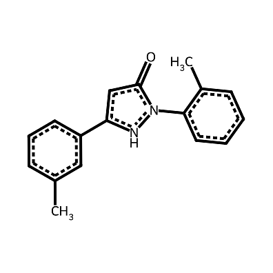 Cc1cccc(-c2cc(=O)n(-c3ccccc3C)[nH]2)c1